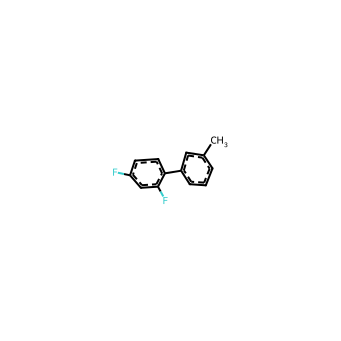 Cc1cccc(-c2ccc(F)cc2F)c1